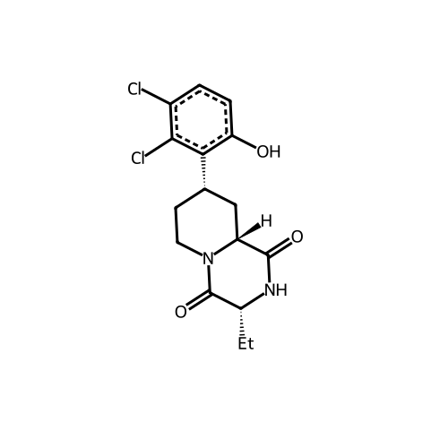 CC[C@H]1NC(=O)[C@H]2C[C@@H](c3c(O)ccc(Cl)c3Cl)CCN2C1=O